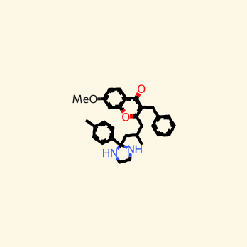 COc1ccc2c(=O)c(Cc3ccccc3)c(CC(C)CC3(c4ccc(C)cc4)NCCN3)oc2c1